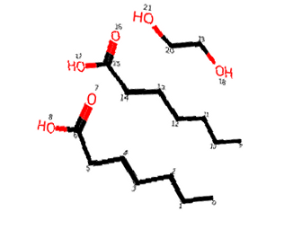 CCCCCCC(=O)O.CCCCCCC(=O)O.OCCO